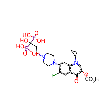 O=C(O)Oc1cn(C2CC2)c2cc(N3CCN(CCC(O)(P(=O)(O)O)P(=O)(O)O)CC3)c(F)cc2c1=O